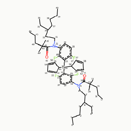 CCCCC(CC)CCN(C(=O)C(C)(C)CCC)c1ccc(F)[c]([Ti]([c]2c(F)ccc(N(CCC(CC)CCCC)C(=O)C(C)(C)CCC)c2F)([CH]2C=CC=C2)[CH]2C=CC=C2)c1F